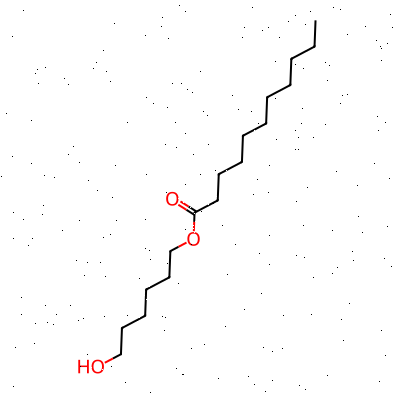 CCCCCCCCCCC(=O)OCCCCCCO